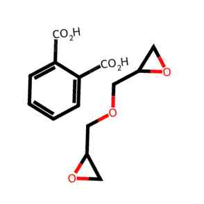 C(OCC1CO1)C1CO1.O=C(O)c1ccccc1C(=O)O